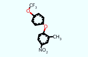 Cc1cc([N+](=O)[O-])ccc1Oc1ccc(OC(F)(F)F)cc1